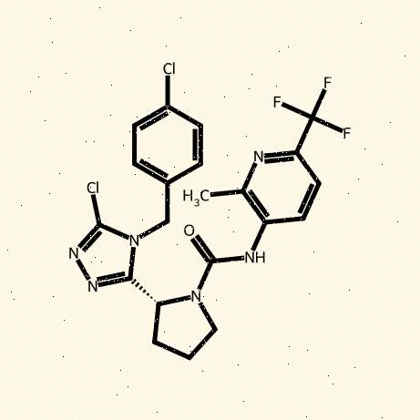 Cc1nc(C(F)(F)F)ccc1NC(=O)N1CCC[C@@H]1c1nnc(Cl)n1Cc1ccc(Cl)cc1